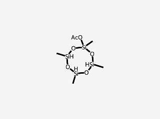 CC(=O)O[Si]1(C)O[SiH](C)O[SiH](C)O[SiH](C)O1